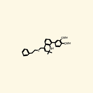 COc1ccc(-c2cccc3c2NC(C)(C)C=C3CSCCc2ccccc2)cc1OC